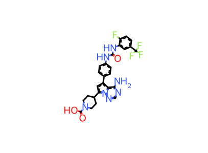 Nc1ncnn2c(C3CCN(C(=O)O)CC3)cc(-c3ccc(NC(=O)Nc4cc(C(F)(F)F)ccc4F)cc3)c12